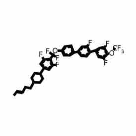 C/C=C/CCC1CCC(c2cc(F)c(C(F)(F)Oc3ccc(-c4ccc(-c5cc(F)c(OC(F)(F)F)c(F)c5)c(F)c4)cc3)c(F)c2)CC1